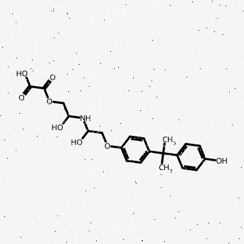 CC(C)(c1ccc(O)cc1)c1ccc(OCC(O)NC(O)COC(=O)C(=O)O)cc1